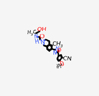 Cc1c(-c2noc(-c3ccc(OC(C)C)c(C#N)c3)n2)ccc2c1CCN(CC(=O)N[C@@H](C)CO)C2